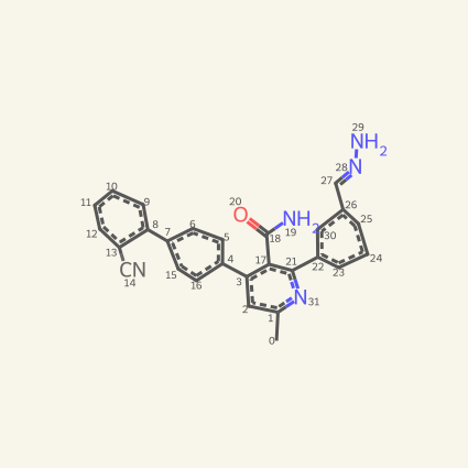 Cc1cc(-c2ccc(-c3ccccc3C#N)cc2)c(C(N)=O)c(-c2cccc(C=NN)c2)n1